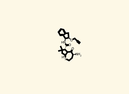 C#CCO[C@@H]1Cc2ccccc2[C@@H]1NC(=O)[C@@H]1C2C(=O)[C@@H](N)CCS[C@H]2CC1(C)C